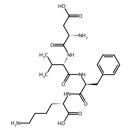 CC(C)[C@H](NC(=O)[C@@H](N)CC(=O)O)C(=O)N[C@@H](Cc1ccccc1)C(=O)N[C@@H](CCCCN)C(=O)O